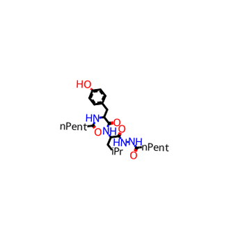 CCCCCC(=O)NNC(=O)C(CC(C)C)NC(=O)C(Cc1ccc(O)cc1)NC(=O)CCCCC